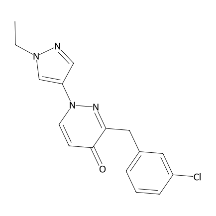 CCn1cc(-n2ccc(=O)c(Cc3cccc(Cl)c3)n2)cn1